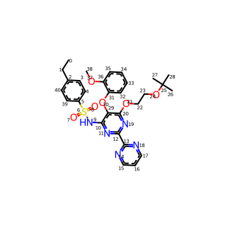 CCc1ccc(S(=O)(=O)Nc2nc(-c3ncccn3)nc(OCCOC(C)(C)C)c2Oc2ccccc2OC)cc1